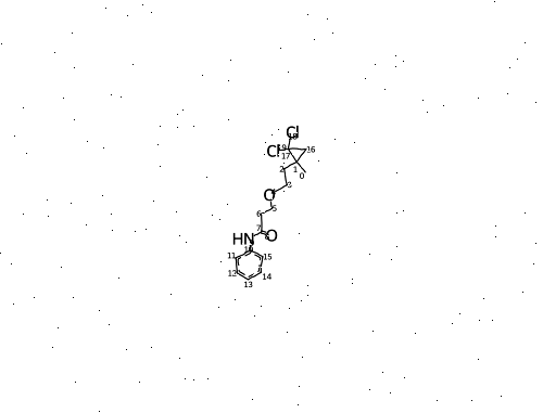 CC1(CCOCCC(=O)Nc2ccccc2)CC1(Cl)Cl